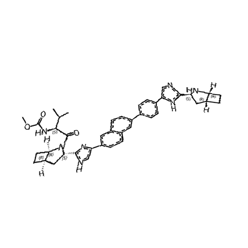 COC(=O)N[C@H](C(=O)N1[C@@H]2CC[C@@H]2C[C@H]1c1nc(-c2ccc3cc(-c4ccc(-c5cnc([C@@H]6C[C@H]7CC[C@H]7N6)[nH]5)cc4)ccc3c2)c[nH]1)C(C)C